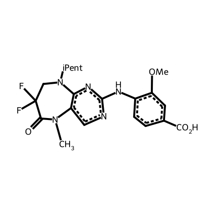 CCCC(C)N1CC(F)(F)C(=O)N(C)c2cnc(Nc3ccc(C(=O)O)cc3OC)nc21